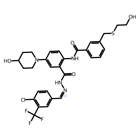 O=C(Nc1ccc(N2CCC(O)CC2)cc1C(=O)N/N=C\c1ccc(Cl)c(C(F)(F)F)c1)c1cccc(CSCCO)c1